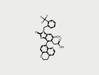 Cc1cc2c(sc(=O)n2Cc2ccccc2C(F)(F)F)c(-c2ccc3c4c(ccnc24)CCO3)c1CC(=O)O